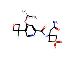 C[C@H](Oc1cc(C(=O)NC2(CC(N)=O)CS(=O)(=O)C2)ncc1C1(F)COC1)C(F)(F)F